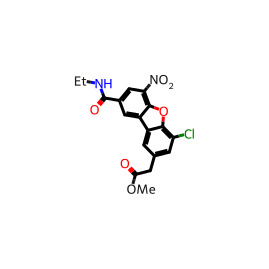 CCNC(=O)c1cc([N+](=O)[O-])c2oc3c(Cl)cc(CC(=O)OC)cc3c2c1